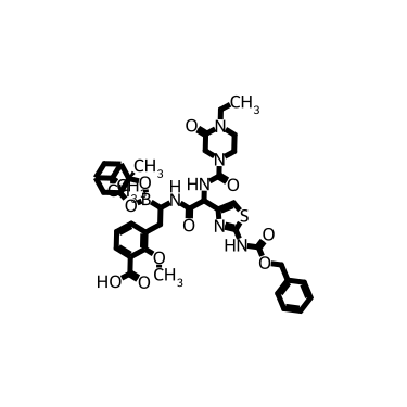 CCN1CCN(C(=O)NC(C(=O)NC(Cc2cccc(C(=O)O)c2OC)B2OC3CC4CC(C4(C)C)[C@]3(C)O2)c2csc(NC(=O)OCc3ccccc3)n2)CC1=O